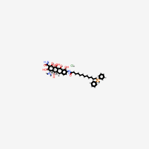 C[C@H]1c2ccc(NC(=O)CCCCCCCCCCC[P+](C)(c3ccccc3)c3ccccc3)c(O)c2C(=O)C2=C(O)[C@]3(O)C(=O)C(C(N)=O)=C(O)[C@@H](N(C)C)[C@@H]3[C@@H](O)[C@@H]21.[Cl-]